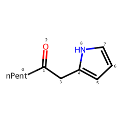 CCCCCC(=O)Cc1ccc[nH]1